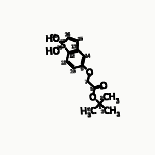 CC(C)(C)OC(=O)COc1ccc2c(c1)C=CS2(O)O